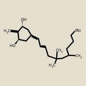 C=C1[C@H](O)CC(=CC=CCC(C)(C)CC(C)CCCC(C)(C)C)C[C@H]1O